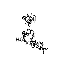 CCC(O)C(C)C1OC1CC(C)(O)/C=C/C=C(\C)C1OC(=O)CC(O)CCC(C)C(OC(=O)N2CCCN(C(C)C)CC2)/C=C/C1C